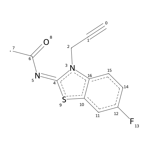 C#CCn1c(=NC([CH2])=O)sc2cc(F)ccc21